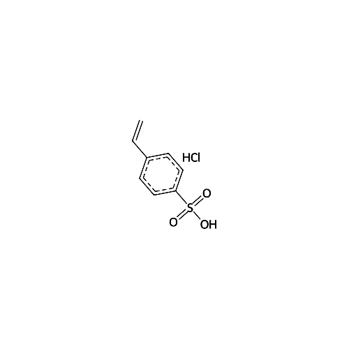 C=Cc1ccc(S(=O)(=O)O)cc1.Cl